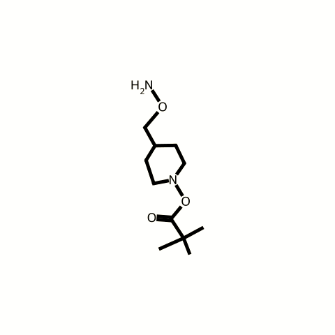 CC(C)(C)C(=O)ON1CCC(CON)CC1